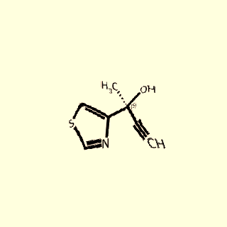 C#C[C@](C)(O)c1cscn1